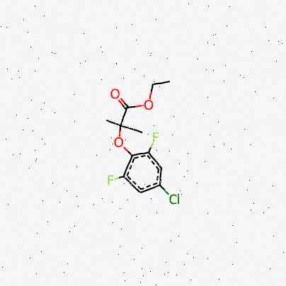 CCOC(=O)C(C)(C)Oc1c(F)cc(Cl)cc1F